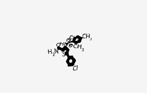 COP(=O)(Nc1cc(-c2ccc(Cl)cc2)sc1C(N)=O)c1ccc(C)cc1C